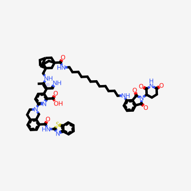 C/C(NCC12CC3CC1CC(C(=O)NCCCCCCCCCCCCNc1cccc4c1C(=O)N(C1CCC(=O)NC1=O)C4=O)(C3)C2)=C(/C=N)c1ccc(N2CCc3cccc(C(=O)Nc4nc5ccccc5s4)c3C2)nc1C(=O)O